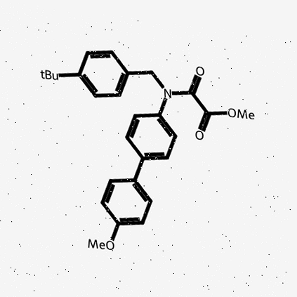 COC(=O)C(=O)N(Cc1ccc(C(C)(C)C)cc1)c1ccc(-c2ccc(OC)cc2)cc1